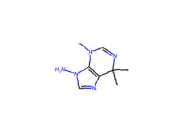 CN1C=NC(C)(C)c2ncn(N)c21